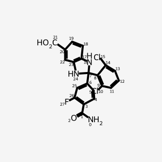 NC(=O)c1ccc(C2(c3c(Cl)cccc3Cl)Nc3ccc(C(=O)O)cc3N2)cc1F